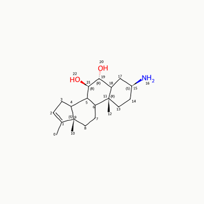 CC1=CCC2C3C(CC[C@]12C)[C@@]1(C)CC[C@H](N)CC1[C@@H](O)[C@@H]3O